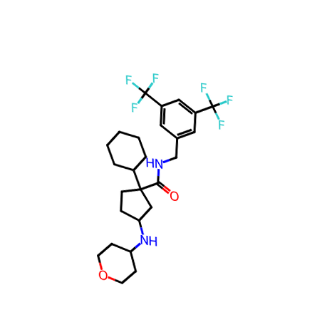 O=C(NCc1cc(C(F)(F)F)cc(C(F)(F)F)c1)C1(C2CCCCC2)CCC(NC2CCOCC2)C1